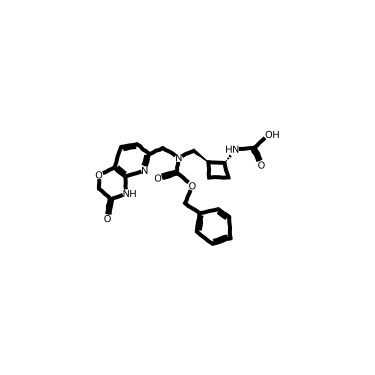 O=C(O)N[C@@H]1CC[C@H]1CN(Cc1ccc2c(n1)NC(=O)CO2)C(=O)OCc1ccccc1